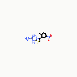 Cc1ccc([N+](=O)[O-])cc1-c1csc(NC(=N)N)n1